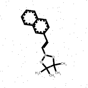 CC1(C)OB(C=Cc2ccc3ccccc3c2)OC1(C)C